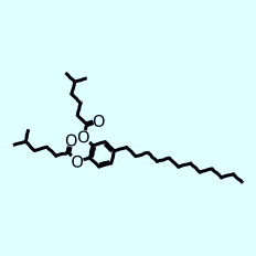 CCCCCCCCCCCCc1ccc(OC(=O)CCCC(C)C)c(OC(=O)CCCC(C)C)c1